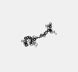 Cc1c(OCCCC2CCN(CC(=O)N3CCN(c4ccc5c(C6CCC(=O)NC6=O)nn(C)c5c4)CC3)CC2)cccc1-c1ccc(N2CCc3cccc(C(=O)Nc4nc5ccccc5s4)c3C2)nc1C(=O)OC(C)(C)C